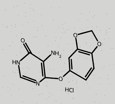 Cl.Nc1c(Oc2ccc3c(c2)OCO3)nc[nH]c1=O